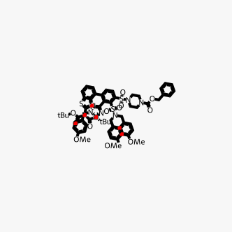 COc1ccc(CN(Cc2ccc(OC)cc2)S(=O)(=O)c2c(S(=O)(=O)N3CCN(C(=O)OCc4ccccc4)CC3)ccc(-c3cccc4sc(N(C(=O)OC(C)(C)C)C(=O)OC(C)(C)C)nc34)c2-c2nnn(Cc3ccc(OC)cc3)n2)cc1